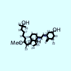 C=C1/C(=C\C=C2/CCC[C@]3(C)[C@@H]([C@@H](C)[C@@H](CCCCC(C)(C)O)OC)CC[C@@H]23)C[C@@H](O)C[C@@H]1C